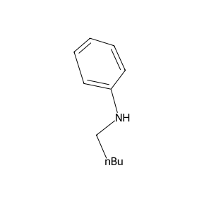 CCCCCNc1ccccc1